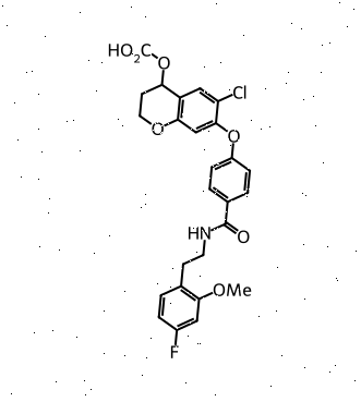 COc1cc(F)ccc1CCNC(=O)c1ccc(Oc2cc3c(cc2Cl)C(OC(=O)O)CCO3)cc1